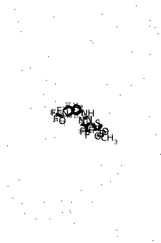 CS(=O)(=O)c1csc(-c2nc(Nc3ccc4c(c3)CN(C(=O)C(F)(F)F)CC4)ncc2C(F)(F)F)c1